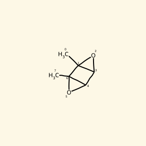 CC12OC1C1OC12C